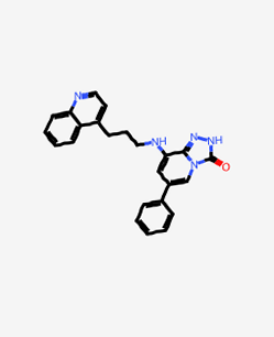 O=c1[nH]nc2c(NCCCc3ccnc4ccccc34)cc(-c3ccccc3)cn12